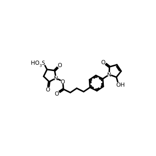 O=C(CCCc1ccc(N2C(=O)C=CC2O)cc1)ON1C(=O)CC(S(=O)(=O)O)C1=O